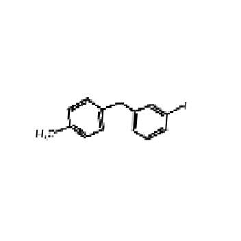 Cc1ccc(Cc2cccc(I)c2)cc1